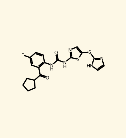 O=C(Nc1ncc(Sc2ncc[nH]2)s1)Nc1ccc(F)cc1C(=O)C1CCCC1